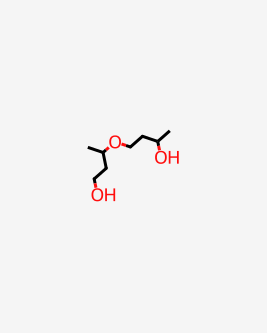 CC(O)CCOC(C)CCO